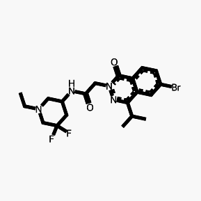 CCN1CC(NC(=O)Cn2nc(C(C)C)c3cc(Br)ccc3c2=O)CC(F)(F)C1